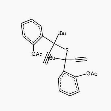 C#CC(SC(C#C)(c1ccccc1OC(C)=O)C(C)CC)(c1ccccc1OC(C)=O)C(C)CC